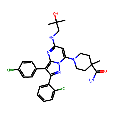 CC(C)(O)CNc1cc(N2CCC(C)(C(N)=O)CC2)n2nc(-c3ccccc3Cl)c(-c3ccc(Cl)cc3)c2n1